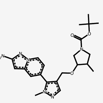 CC1CN(C(=O)OC(C)(C)C)CC1OCc1cnn(C)c1-c1ccn2nc(N)cc2c1